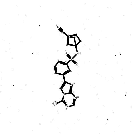 N#CC12CCC(NS(=O)(=O)c3cccc(-c4cn5c(N)ncnc5n4)c3)(C1)C2